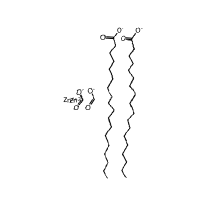 CCCCCCCCCCCCCCCCCC(=O)[O-].CCCCCCCCCCCCCCCCCC(=O)[O-].O=C[O-].O=C[O-].[Zn+2].[Zn+2]